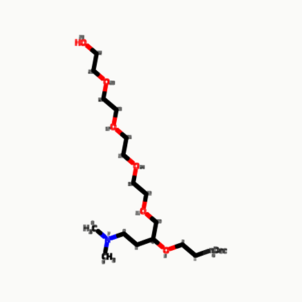 CCCCCCCCCCCCOC(CCN(C)C)COCCOCCOCCOCCO